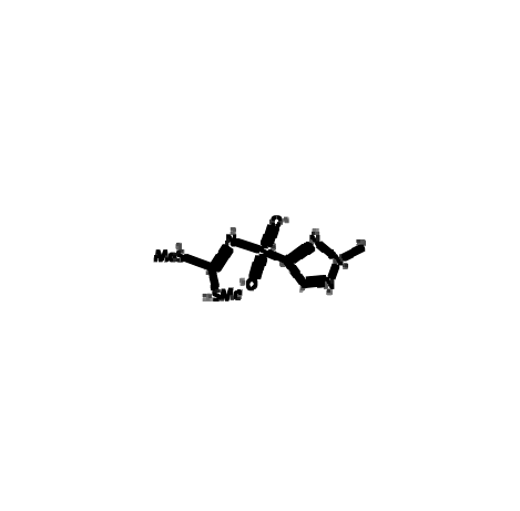 CSC(=NS(=O)(=O)c1cnn(C)n1)SC